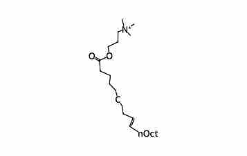 CCCCCCCCC=CCCCCCCCC(=O)OCCC[N+](C)(C)C